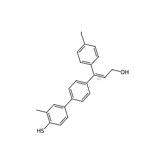 Cc1cc(-c2ccc(/C(=C/CO)c3ccc(I)cc3)cc2)ccc1S